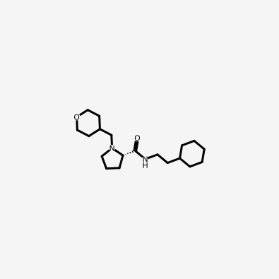 O=C(NCCC1CCCCC1)[C@@H]1CCCN1CC1CCOCC1